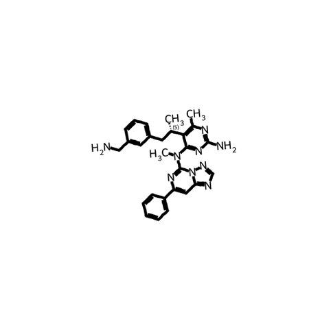 Cc1nc(N)nc(N(C)c2nc(-c3ccccc3)cc3ncnn23)c1[C@@H](C)Cc1cccc(CN)c1